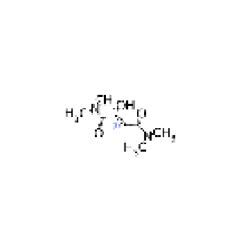 CN(C)C(=O)/C=C(\O)C(=O)N(C)C